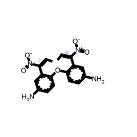 C/C=C(\c1cc(N)ccc1Oc1ccc(N)cc1/C(=C\C)[N+](=O)[O-])[N+](=O)[O-]